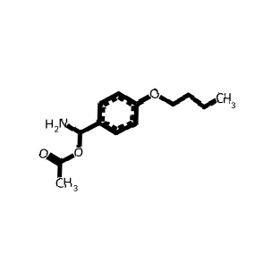 CCCCOc1ccc(C(N)OC(C)=O)cc1